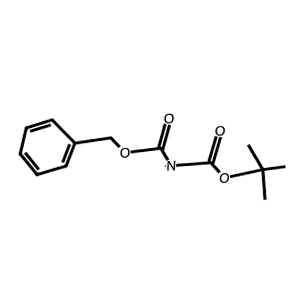 CC(C)(C)OC(=O)[N]C(=O)OCc1ccccc1